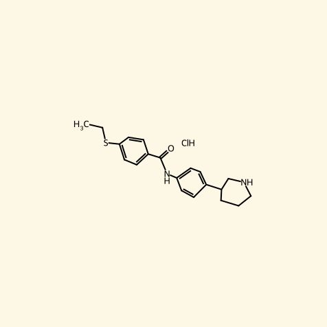 CCSc1ccc(C(=O)Nc2ccc(C3CCCNC3)cc2)cc1.Cl